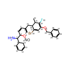 C=C(/C=C\C(ON=O)C(N)C1C=CC=CC1)CC1C(Br)=CC(OCc2ccccc2)=C(F)C1C